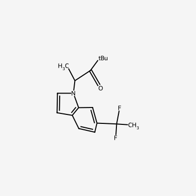 CC(C(=O)C(C)(C)C)n1ccc2ccc(C(C)(F)F)cc21